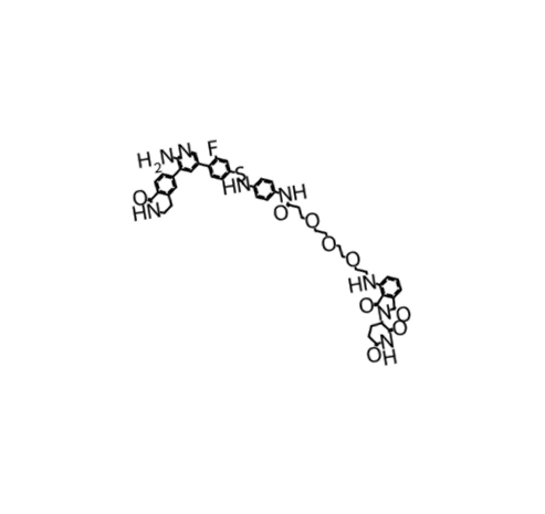 Nc1ncc(-c2ccc(SNc3ccc(NC(=O)CCOCCOCCOCCNc4cccc5c4C(=O)N(C4CCC(=O)NC4=O)C5=O)cc3)cc2F)cc1-c1ccc2c(c1)CCNC2=O